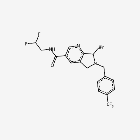 CC(C)C1c2ncc(C(=O)NCC(F)F)cc2CN1Cc1ccc(C(F)(F)F)cc1